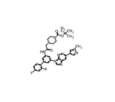 Cn1cc(-c2cnc3c(c2)ncn3-c2cc(NC(=O)CN3CCN(C(=O)OC(C)(C)C)CC3)cc(-c3ccc(F)cc3F)c2)cn1